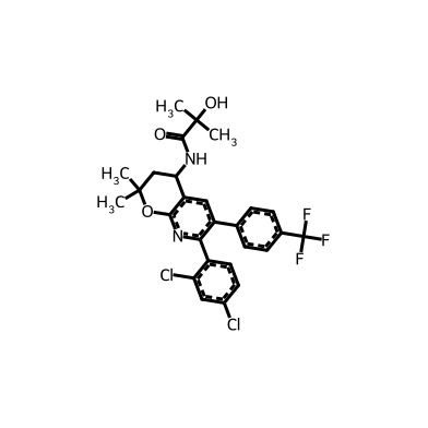 CC1(C)CC(NC(=O)C(C)(C)O)c2cc(-c3ccc(C(F)(F)F)cc3)c(-c3ccc(Cl)cc3Cl)nc2O1